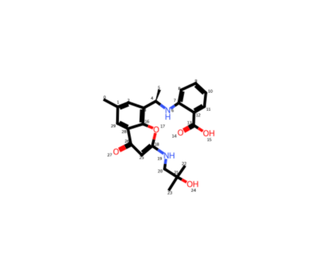 Cc1cc([C@@H](C)Nc2ccccc2C(=O)O)c2oc(NCC(C)(C)O)cc(=O)c2c1